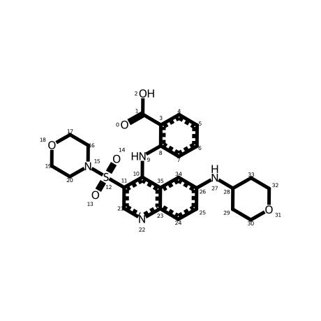 O=C(O)c1ccccc1Nc1c(S(=O)(=O)N2CCOCC2)cnc2ccc(NC3CCOCC3)cc12